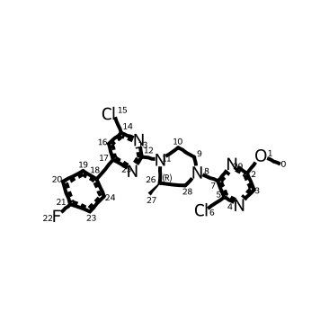 COc1cnc(Cl)c(N2CCN(c3nc(Cl)cc(-c4ccc(F)cc4)n3)[C@H](C)C2)n1